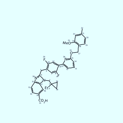 CCC1(Cn2c(Cc3cc(F)c(-c4cccc(OCc5ccc(C)cc5OC)n4)cc3F)nc3ccc(C(=O)O)cc32)CC1